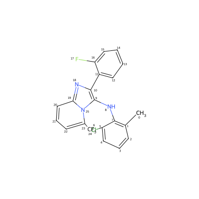 Cc1cccc(Cl)c1Nc1c(-c2ccccc2F)nc2cccc(C(F)(F)F)n12